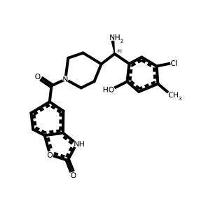 Cc1cc(O)c([C@H](N)C2CCN(C(=O)c3ccc4oc(=O)[nH]c4c3)CC2)cc1Cl